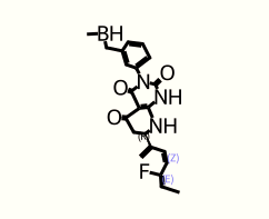 C=C(/C=C\C(F)=C/C)[C@H]1CC(=O)c2c([nH]c(=O)n(-c3cccc(CBC)c3)c2=O)N1